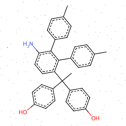 Cc1ccc(-c2c(N)ccc(C(C)(c3ccc(O)cc3)c3ccc(O)cc3)c2-c2ccc(C)cc2)cc1